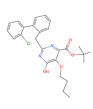 CCCCOc1c(O)nc(Cc2ccccc2-c2ccccc2Cl)nc1C(=O)OC(C)(C)C